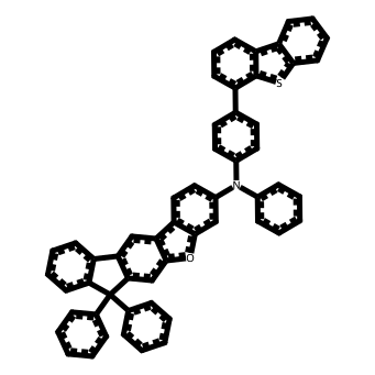 c1ccc(N(c2ccc(-c3cccc4c3sc3ccccc34)cc2)c2ccc3c(c2)oc2cc4c(cc23)-c2ccccc2C4(c2ccccc2)c2ccccc2)cc1